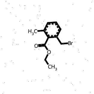 CCOC(=O)c1c(C)cccc1CBr